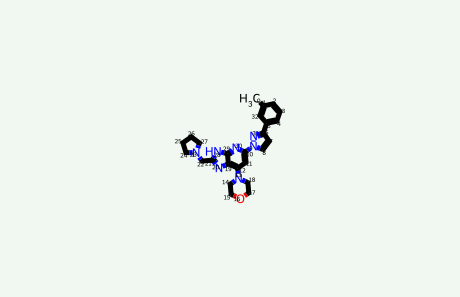 Cc1cccc(-c2ccn(-c3cc(N4CCOCC4)c4nc(CN5CCCC5)[nH]c4n3)n2)c1